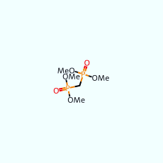 COP(=O)(CP(=O)(OC)OC)OC